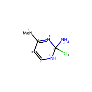 CNC1=NC(N)(Cl)NC=C1